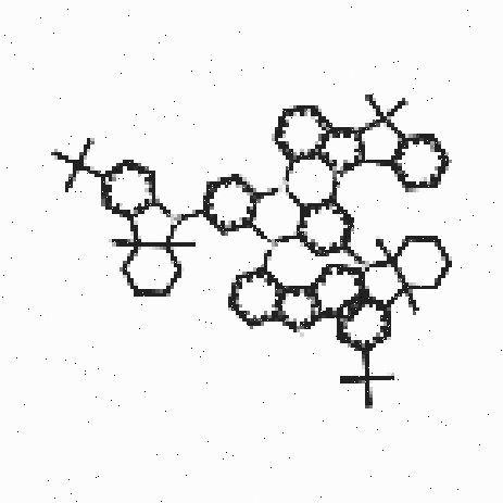 CC(C)(C)c1ccc2c(c1)C1(C)CCCCC1(C)N2c1ccc2c(c1)N(c1cccc3sc4ccccc4c13)c1cc(N3c4ccc(C(C)(C)C)cc4C4(C)CCCCC34C)cc3c1B2c1cccc2c4c(n-3c12)-c1ccccc1C4(C)C